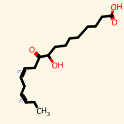 CC/C=C\C/C=C\CC(=O)C(O)CCCCCCCC(=O)O